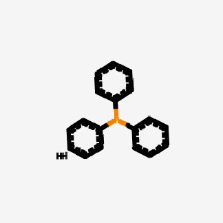 [HH].c1ccc(P(c2ccccc2)c2ccccc2)cc1